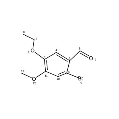 CCOc1cc(C=O)c(Br)cc1OC